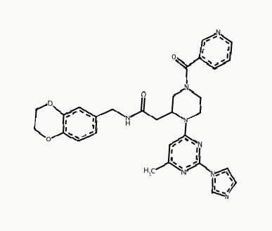 Cc1cc(N2CCN(C(=O)c3cccnc3)CC2CC(=O)NCc2ccc3c(c2)OCCO3)nc(-n2ccnc2)n1